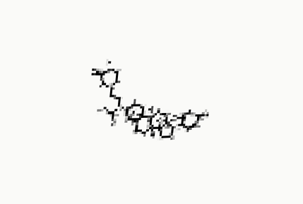 C[C@]12CC[C@H](N(CCN3CCNC(=O)C3)C(=O)O)C=C1CC[C@@H]1[C@@H]2CC[C@]2(C)[C@@H](c3ccc(=O)oc3)CC[C@]12O